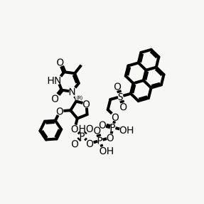 Cc1cn([C@@H]2OCC(OP(=O)(O)OP(=O)(O)OP(=O)(O)OCCS(=O)(=O)c3ccc4ccc5cccc6ccc3c4c56)C2Oc2ccccc2)c(=O)[nH]c1=O